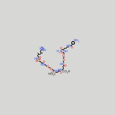 CC(CC(=O)NS(=O)(=O)CCCC(=O)NCCOCCOCC(=O)NC(CCC(=O)NC(CCC(=O)NCCOCCOCC(=O)NC(CCCCNC(=O)c1ccc(N)cc1)C(N)=O)C(=O)O)C(=O)O)CC(C)Cc1nnn[nH]1